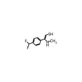 CN/C(=C\S)c1ccc(C(F)F)cc1